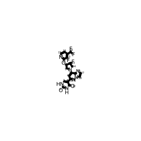 O=c1[nH]cc(-c2cc(N3CC(Oc4cc(C(F)F)ccn4)C(F)(F)C3)c3nccn3n2)c(=O)[nH]1